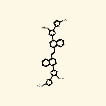 CCCCCCCCc1ccc(-c2sc(-c3ccc(/C=C/c4ccc(-c5cc(CCCCCC)c(-c6ccc(CCCCCCCC)s6)s5)c5ccccc45)c4ccccc34)cc2CCCCCC)s1